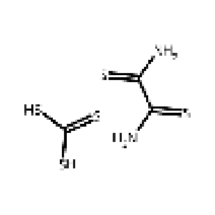 NC(=S)C(N)=S.S=C(S)S